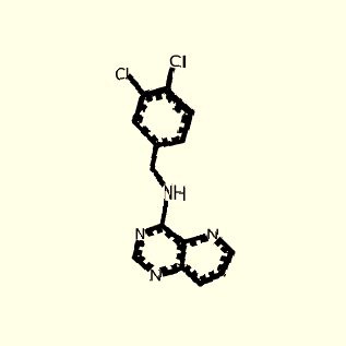 Clc1ccc(CNc2ncnc3cccnc23)cc1Cl